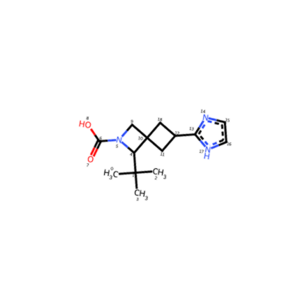 CC(C)(C)C1N(C(=O)O)CC12CC(c1ncc[nH]1)C2